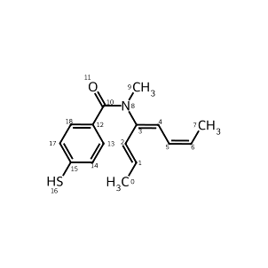 CC=C/C(=C\C=C/C)N(C)C(=O)c1ccc(S)cc1